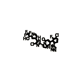 O=C1C=C(c2c(-n3cnnn3)ccc(Cl)c2F)C[C@H]2CC[C@@H](c3nc(Cl)c(-c4ccnc(C(O)C(F)(F)F)c4)[nH]3)N12